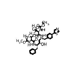 COC(=O)N[C@H](C(=O)N[C@@H](Cc1ccccc1)[C@@H](O)CN(Cc1ccc(-c2cncs2)cc1)NC(=O)[C@@H](NC(=O)OC)C(C)(C)C)C(C)C